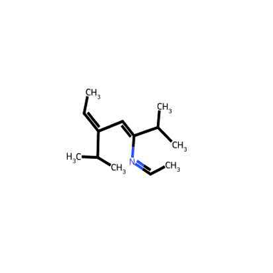 C\C=N/C(=C\C(=C/C)C(C)C)C(C)C